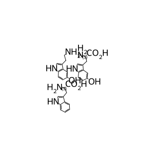 NCCc1c[nH]c2ccc(O)cc12.N[C@@H](Cc1c[nH]c2ccc(O)cc12)C(=O)O.N[C@@H](Cc1c[nH]c2ccccc12)C(=O)O